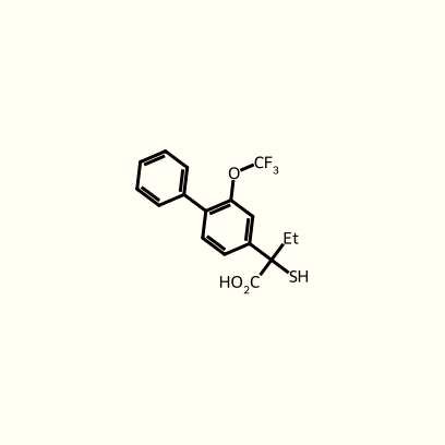 CCC(S)(C(=O)O)c1ccc(-c2ccccc2)c(OC(F)(F)F)c1